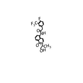 C[C@@H](CO)n1ccc2c(NC(=O)Cc3ccc(F)c(C(F)(F)F)c3)cccc2c1=O